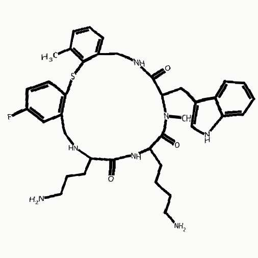 Cc1cccc2c1Sc1ccc(F)cc1CNC(CCCN)C(=O)NC(CCCCN)C(=O)N(C)C(Cc1c[nH]c3ccccc13)C(=O)NC2